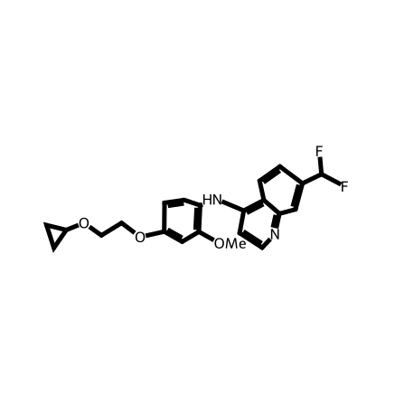 COc1cc(OCCOC2CC2)ccc1Nc1ccnc2cc(C(F)F)ccc12